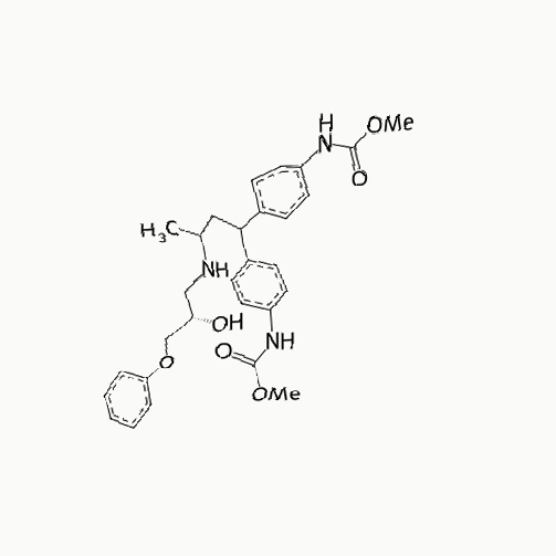 COC(=O)Nc1ccc(C(CC(C)NC[C@H](O)COc2ccccc2)c2ccc(NC(=O)OC)cc2)cc1